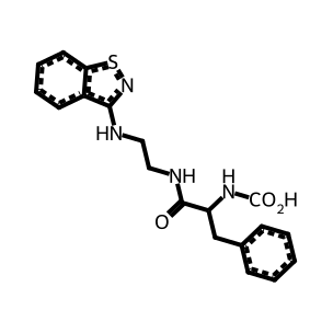 O=C(O)NC(Cc1ccccc1)C(=O)NCCNc1nsc2ccccc12